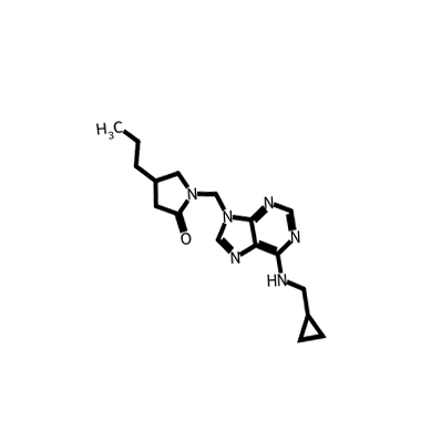 CCCC1CC(=O)N(Cn2cnc3c(NCC4CC4)ncnc32)C1